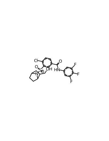 O=C(Nc1cc(F)c(F)c(F)c1)c1ccc(Cl)c(S(=O)(=O)N2C3CCC2C(CO)C3)c1